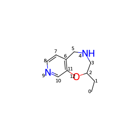 CCC1CNCc2ccncc2O1